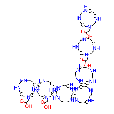 C1CNCCNCCCNCCNC1.C1CNCCNCCCNCCNC1.C1CNCCNCCCNCCNC1.O=C(O)CN1CCCNCCNCCCNCC1.O=C(O)CN1CCCNCCNCCCNCC1.O=C(O)CN1CCCNCCNCCCNCC1.O=C(O)CN1CCCNCCNCCCNCC1